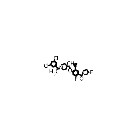 C[C@@H](c1cc(Cl)cc(Cl)c1)N1CCC(C)(COc2cc(F)c(C(=O)N3CC[C@@H](F)C3)cc2C2CC2)CC1